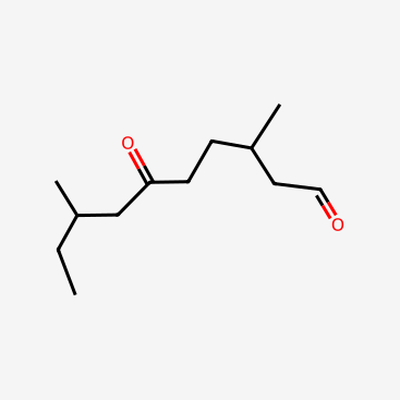 CCC(C)CC(=O)CCC(C)CC=O